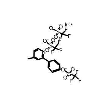 Cc1ccnc(-c2ccccc2)c1.O=S(=O)([O-])C(F)(F)F.O=S(=O)([O-])C(F)(F)F.O=S(=O)([O-])C(F)(F)F.[Ir+3]